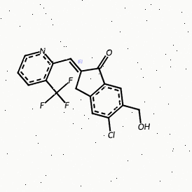 O=C1/C(=C/c2ncccc2C(F)(F)F)Cc2cc(Cl)c(CO)cc21